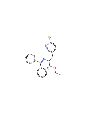 CCOC(=O)C(Cc1ccc(Br)nc1)N=C(c1ccccc1)c1ccccc1